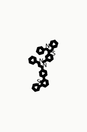 c1ccc(-c2cc(-c3ccc(-c4cccc5c4sc4ccccc45)cc3)nc(-c3ccc4sc5c6ccccc6nc(-c6ccccc6)c5c4c3)n2)cc1